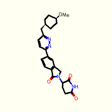 CO[C@H]1CC[C@@H](Cc2ccc(-c3ccc4c(c3)CN(C3CCC(=O)NC3=O)C4=O)nn2)CC1